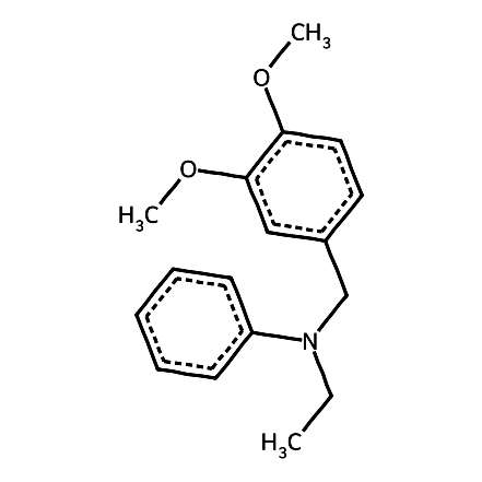 CCN(Cc1ccc(OC)c(OC)c1)c1ccccc1